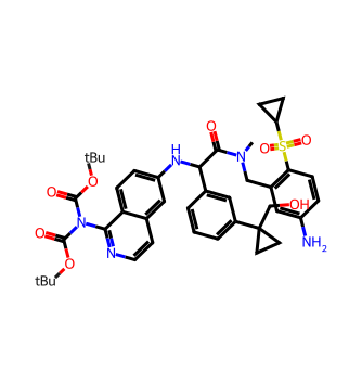 CN(Cc1cc(N)ccc1S(=O)(=O)C1CC1)C(=O)C(Nc1ccc2c(N(C(=O)OC(C)(C)C)C(=O)OC(C)(C)C)nccc2c1)c1cccc(C2(CO)CC2)c1